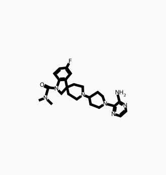 CN(C)C(=O)N1CC2(CCN(C3CCN(c4nccnc4N)CC3)CC2)c2cc(F)ccc21